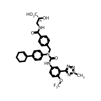 Cn1nnc(-c2cc(NC(=O)N(Cc3ccc(C(=O)NC[C@@H](O)C(=O)O)cc3)c3ccc(C4=CCCCC4)cc3)ccc2OC(F)(F)F)n1